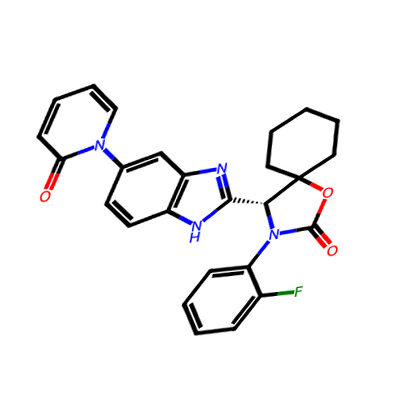 O=C1OC2(CCCCC2)[C@@H](c2nc3cc(-n4ccccc4=O)ccc3[nH]2)N1c1ccccc1F